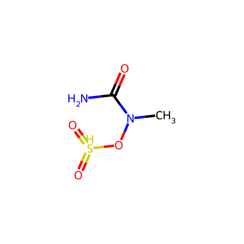 CN(O[SH](=O)=O)C(N)=O